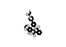 O=C(O)C1c2ccccc2C(=O)N(c2ccc(C3CCN(C(=O)CI)CC3)cc2)C1c1ccc2c(c1)OCCO2